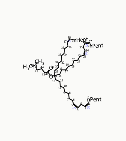 CCCCC/C=C\C/C=C\CCCCCCCCC(CCCCCCCC/C=C\C/C=C\CCCCC)(CCCCCCCC/C=C\CCCCCCC)OC(=O)CCCN(C)C